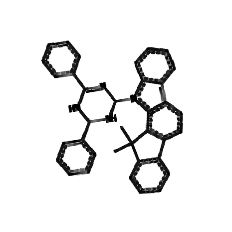 CC1(C)c2ccccc2-c2ccc3c4ccccc4n(C4N=C(c5ccccc5)NC(c5ccccc5)N4)c3c21